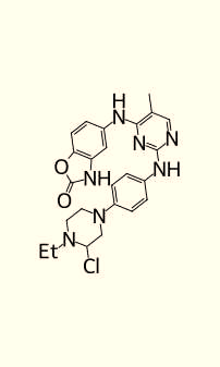 CCN1CCN(c2ccc(Nc3ncc(C)c(Nc4ccc5oc(=O)[nH]c5c4)n3)cc2)CC1Cl